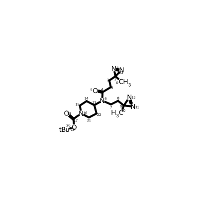 CC1(CCC(=O)N(CCC2(C)N=N2)C2CCN(C(=O)OC(C)(C)C)CC2)N=N1